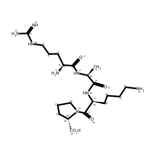 C[C@H](NC(=O)[C@@H](N)CCCNC(=N)N)C(=O)N[C@@H](CCCCN)C(=O)N1CCC[C@H]1C(=O)O